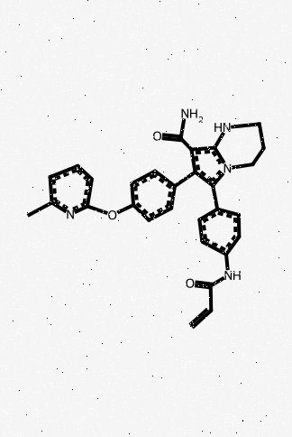 C=CC(=O)Nc1ccc(-c2c(-c3ccc(Oc4cccc(C)n4)cc3)c(C(N)=O)c3n2CCCN3)cc1